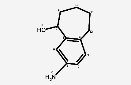 Nc1ccc2c(c1)C(O)CCCC2